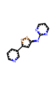 c1cnc(N=c2cc(-c3cccnc3)ss2)nc1